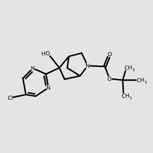 CC(C)(C)OC(=O)N1CC2CC1CC2(O)c1ncc(Cl)cn1